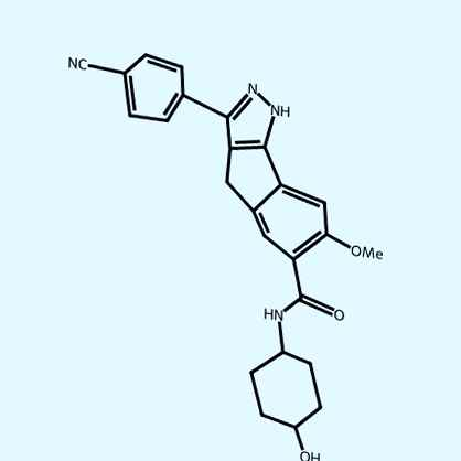 COc1cc2c(cc1C(=O)NC1CCC(O)CC1)Cc1c(-c3ccc(C#N)cc3)n[nH]c1-2